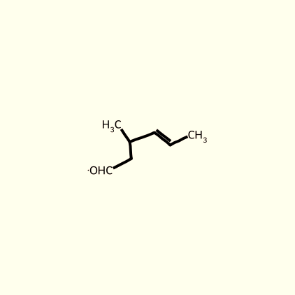 C/C=C/C(C)C[C]=O